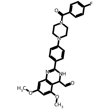 COc1cc2c(c(OC)c1)C(C=O)NC(c1ccc(N3CCN(C(=O)c4ccc(F)cc4)CC3)cc1)=N2